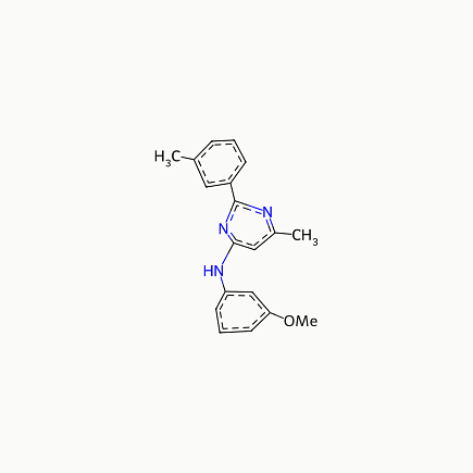 COc1cccc(Nc2cc(C)nc(-c3cccc(C)c3)n2)c1